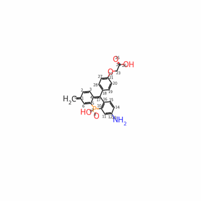 C=c1ccc2c(c1)P(=O)(O)c1cc(N)ccc1C=2c1ccc(OCC(=O)O)cc1